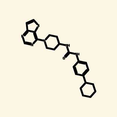 O=C(Nc1ccc(C2CCCCC2)cc1)NC1CCN(c2ncnc3ccsc23)CC1